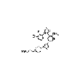 COCCN1CCC(n2cc(-c3cnc(N)c(-c4nncn4-c4cccc(Cl)c4F)c3)cn2)CC1